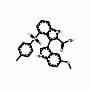 COc1ccc2[nH]cc(-c3c(C(=O)O)[nH]c4cccc(S(=O)(=O)c5ccc(C)cc5)c34)c2c1